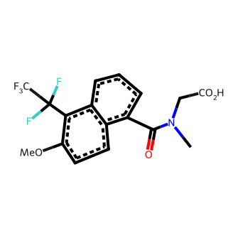 COc1ccc2c(C(=O)N(C)CC(=O)O)cccc2c1C(F)(F)C(F)(F)F